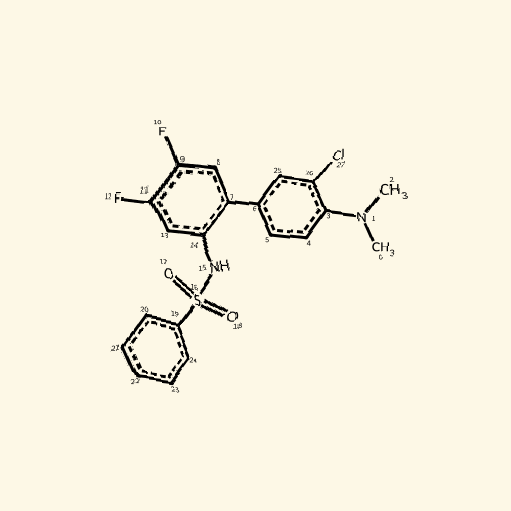 CN(C)c1ccc(-c2cc(F)c(F)cc2NS(=O)(=O)c2ccccc2)cc1Cl